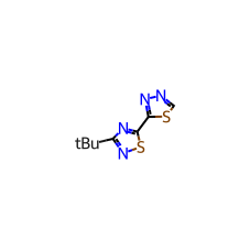 CC(C)(C)c1nsc(-c2nncs2)n1